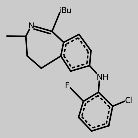 CCC(C)C1=NC(C)CCc2cc(Nc3c(F)cccc3Cl)ccc21